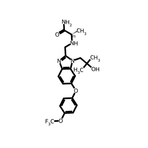 C[C@H](NCc1nc2ccc(Oc3ccc(OC(F)(F)F)cc3)cc2n1CC(C)(C)O)C(N)=O